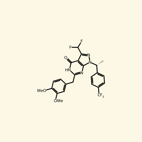 COc1ccc(Cc2nc3c(c(C(F)F)nn3[C@H](C)c3ccc(C(F)(F)F)cc3)c(=O)[nH]2)cc1OC